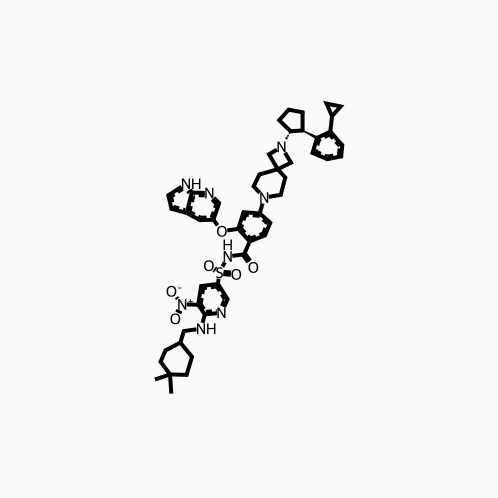 CC1(C)CCC(CNc2ncc(S(=O)(=O)NC(=O)c3ccc(N4CCC5(CC4)CN([C@@H]4CCC[C@H]4c4ccccc4C4CC4)C5)cc3Oc3cnc4[nH]ccc4c3)cc2[N+](=O)[O-])CC1